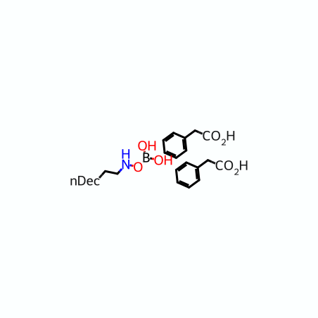 CCCCCCCCCCCCNOB(O)O.O=C(O)Cc1ccccc1.O=C(O)Cc1ccccc1